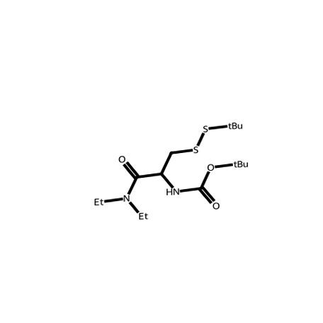 CCN(CC)C(=O)C(CSSC(C)(C)C)NC(=O)OC(C)(C)C